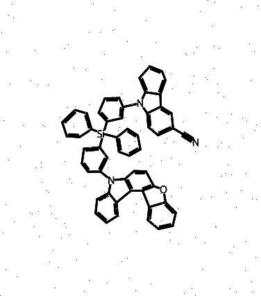 N#Cc1ccc2c(c1)c1ccccc1n2-c1cccc([Si](c2ccccc2)(c2ccccc2)c2cccc(-n3c4ccccc4c4c5c(ccc43)oc3ccccc35)c2)c1